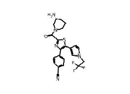 N#Cc1ccc(-c2nc(C(=O)N3CCC[C@@H](N)C3)sc2-c2ccn(CC(F)(F)F)c2)cc1